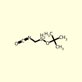 CC(C)(C)O[SiH2]CN=C=O